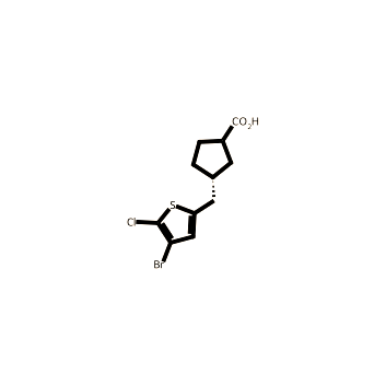 O=C(O)C1CC[C@@H](Cc2cc(Br)c(Cl)s2)C1